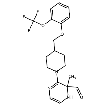 CC1(C=O)NC=CN=C1N1CCC(COc2ccccc2OC(F)(F)F)CC1